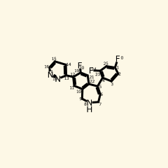 Fc1ccc(C2=CCNCc3cc(-c4cccnn4)c(F)cc32)c(F)c1